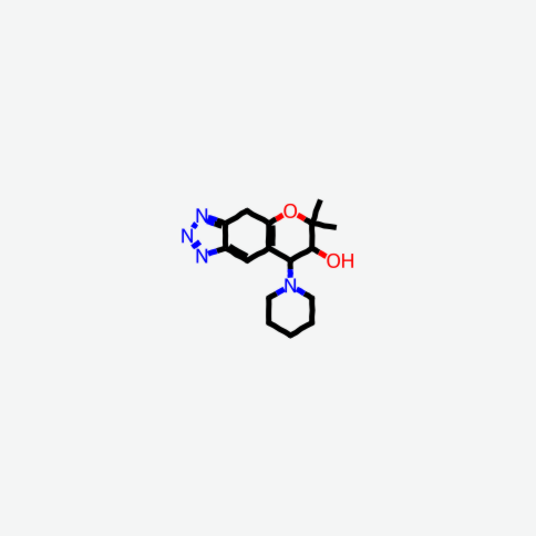 CC1(C)OC2=C(C=C3N=NN=C3C2)C(N2CCCCC2)C1O